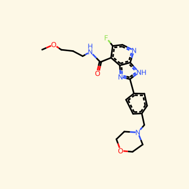 COCCCNC(=O)c1c(F)cnc2[nH]c(-c3ccc(CN4CCOCC4)cc3)nc12